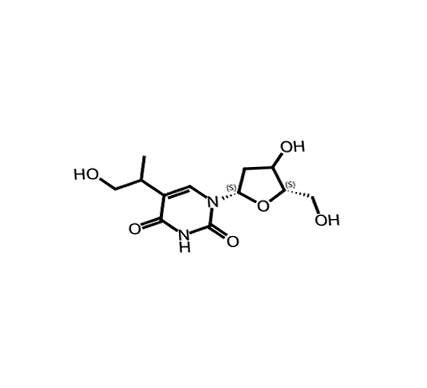 CC(CO)c1cn([C@@H]2CC(O)[C@H](CO)O2)c(=O)[nH]c1=O